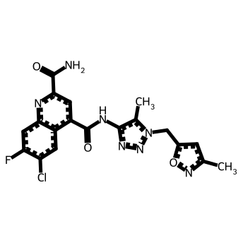 Cc1cc(Cn2nnc(NC(=O)c3cc(C(N)=O)nc4cc(F)c(Cl)cc34)c2C)on1